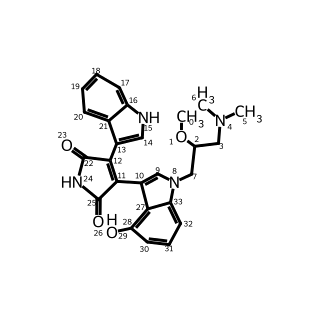 COC(CN(C)C)Cn1cc(C2=C(c3c[nH]c4ccccc34)C(=O)NC2=O)c2c(O)cccc21